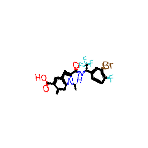 CCn1c(C(=O)NC(c2ccc(F)c(Br)c2)C(F)(F)F)cc2cc(C(=O)O)c(C)cc21